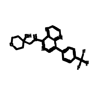 OC1(CNc2ncc(-c3ccc(C(F)(F)F)cc3)c3nccnc23)CCOCC1